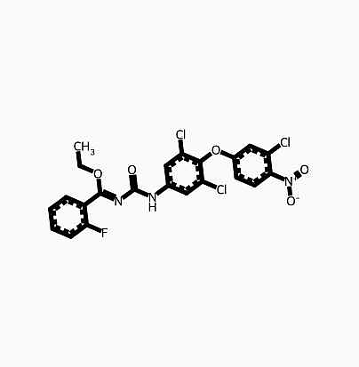 CCO/C(=N\C(=O)Nc1cc(Cl)c(Oc2ccc([N+](=O)[O-])c(Cl)c2)c(Cl)c1)c1ccccc1F